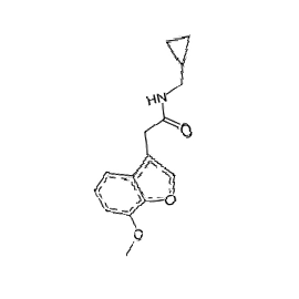 COc1cccc2c(CC(=O)NCC3CC3)coc12